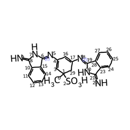 CC1(S(=O)(=O)O)C=C(/N=C2/NC(=N)c3ccccc32)C=C(/N=C2\NC(=N)c3ccccc32)C1